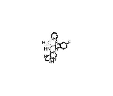 C[C@@H](Nc1ncnc2[nH]cnc12)c1nc2ccc(F)cc2n1-c1ccccn1